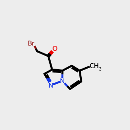 Cc1ccn2ncc(C(=O)CBr)c2c1